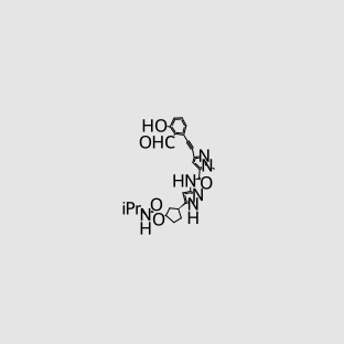 CC(C)NC(=O)O[C@@H]1CC[C@H](c2cc(NC(=O)c3cc(C#Cc4cccc(O)c4C=O)nn3C)n[nH]2)C1